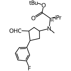 CC(C)[C@H](C(=O)OC(C)(C)C)N(C)C1CC(C=O)C(c2cccc(F)c2)C1